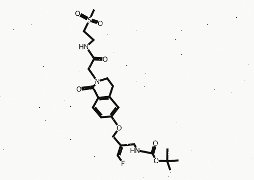 CC(C)(C)OC(=O)NC/C(=C\F)COc1ccc2c(c1)CCN(CC(=O)NCCS(C)(=O)=O)C2=O